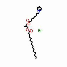 C=C(COC(=O)CCCCCCCCCCCCCCC)COC(=O)CCCCCCC[n+]1ccccc1.[Br-]